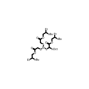 CCCCCCCCC([S][Sn]([S]CC(=O)OCC(CC)CCCC)[S]CC(=O)OCC(CC)CCCC)C(=O)OCC(CC)CCCC